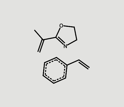 C=C(C)C1=NCCO1.C=Cc1ccccc1